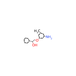 Cc1cc(N)cc(OCC(O)c2ccccc2)c1